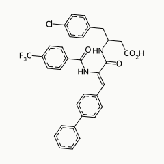 O=C(O)CC(Cc1ccc(Cl)cc1)NC(=O)C(=Cc1ccc(-c2ccccc2)cc1)NC(=O)c1ccc(C(F)(F)F)cc1